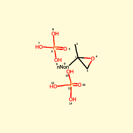 CCCCCCCCCC1(C)CO1.O=P(O)(O)O.O=P(O)(O)O